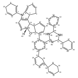 C1=CCC2C(=C1)N(C1=CCCC=C1)C1=C2C2C3C=CC=C(c4ccc(C5C=CC=C(C6C=CCCC6)C5)cc4C4=NC(C5C=CC=CC5)NC(c5ccccc5)N4)C3O[C@@H]2C=C1